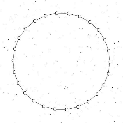 [CH]1CCCCCCCCCCCCCCCCCCCCCCCCC1